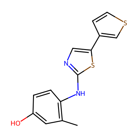 Cc1cc(O)ccc1Nc1ncc(-c2ccsc2)s1